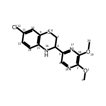 COc1ncc(C2CSc3cc(Cl)ccc3N2)nc1OC